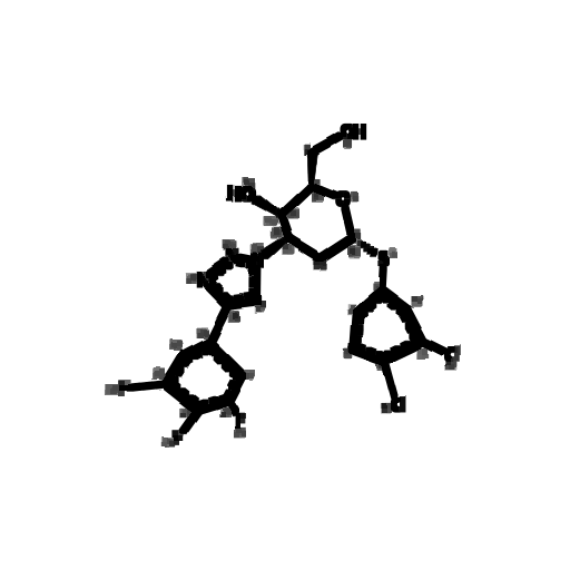 OC[C@H]1O[C@H](Sc2ccc(Cl)c(Cl)c2)C[C@@H](n2cc(-c3cc(F)c(F)c(F)c3)nn2)[C@H]1O